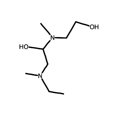 CCN(C)CC(O)N(C)CCO